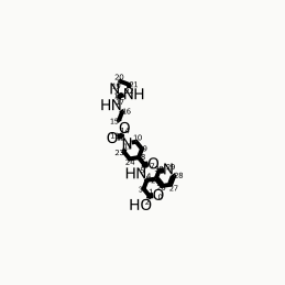 O=C(O)CC(NC(=O)C1CCN(C(=O)OCCNC2=NCCN2)CC1)c1cccnc1